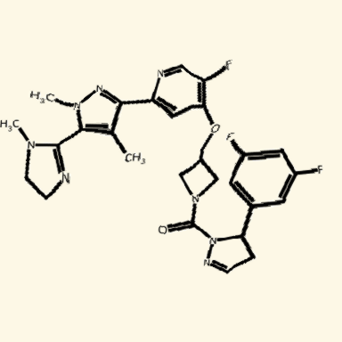 Cc1c(-c2cc(OC3CN(C(=O)N4N=CCC4c4cc(F)cc(F)c4)C3)c(F)cn2)nn(C)c1C1=NCCN1C